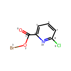 O=C(OBr)c1cccc(Cl)n1